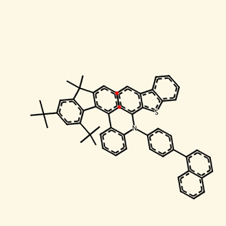 CC(C)(C)c1cc(C(C)(C)C)c2c(c1)C(C)(C)c1cccc(-c3ccccc3N(c3ccc(-c4cccc5ccccc45)cc3)c3cccc4c3sc3ccccc34)c1-2